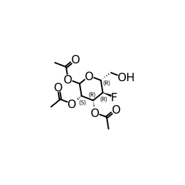 CC(=O)OC1O[C@H](CO)[C@@H](F)[C@H](OC(C)=O)[C@@H]1OC(C)=O